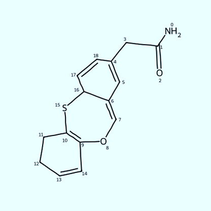 NC(=O)CC1=CC2=COC3=C(CCC=C3)SC2C=C1